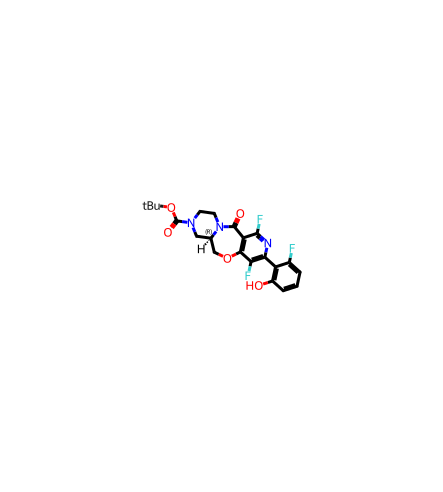 CC(C)(C)OC(=O)N1CCN2C(=O)c3c(F)nc(-c4c(O)cccc4F)c(F)c3OC[C@H]2C1